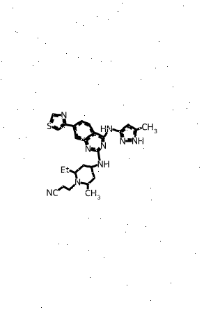 CCC1CC(Nc2nc(Nc3cc(C)[nH]n3)c3ccc(-c4cscn4)cc3n2)CC(C)N1CCC#N